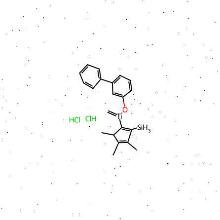 Cl.Cl.[CH2]=[Ti]([O]c1cccc(-c2ccccc2)c1)[C]1=C([SiH3])C(C)=C(C)C1C